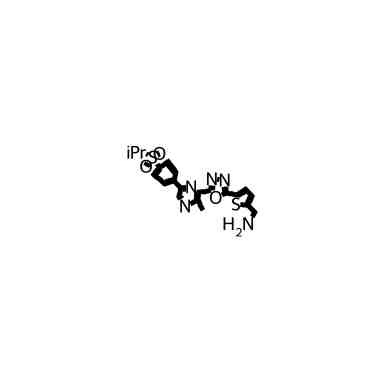 Cc1ncc(-c2ccc(S(=O)(=O)C(C)C)cc2)nc1-c1nnc(-c2ccc(CN)s2)o1